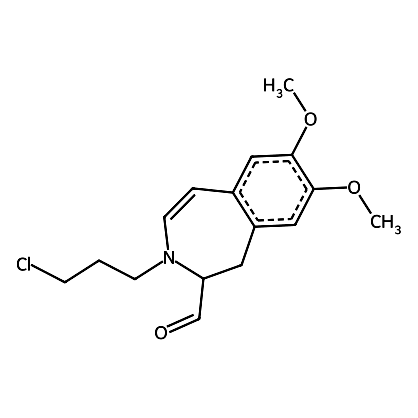 COc1cc2c(cc1OC)CC(C=O)N(CCCCl)C=C2